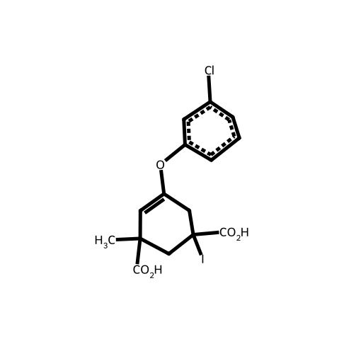 CC1(C(=O)O)C=C(Oc2cccc(Cl)c2)CC(I)(C(=O)O)C1